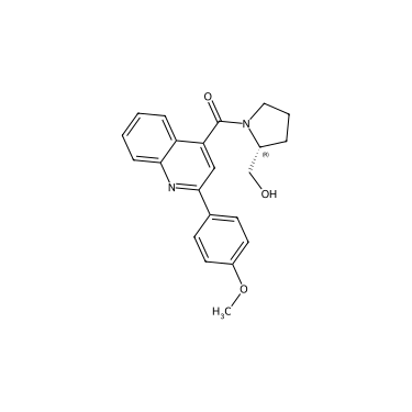 COc1ccc(-c2cc(C(=O)N3CCC[C@@H]3CO)c3ccccc3n2)cc1